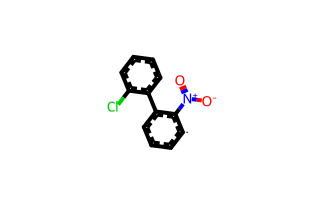 O=[N+]([O-])c1[c]cccc1-c1ccccc1Cl